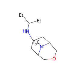 CCC(CC)NC1CC2COCC(C1)N2C(F)(F)F